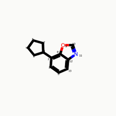 c1cc([C]2CCCC2)c2ocnc2c1